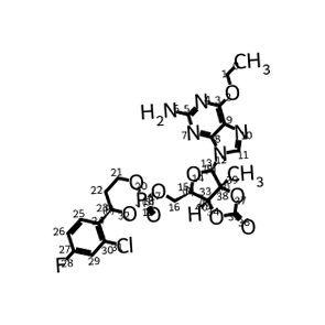 CCOc1nc(N)nc2c1ncn2[C@@H]1O[C@H](CO[P@]2(=O)OCC[C@H](c3ccc(F)cc3Cl)O2)[C@H]2OC(=O)O[C@]21C